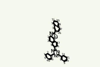 c1ccc(-c2nc(-c3ccccc3)nc(-c3ccc4c(ccc5nc(-c6ccc7ccccc7c6)oc54)c3)n2)cc1